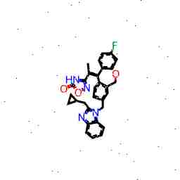 CC(=C1c2ccc(Cn3c(CC4CC4)nc4ccccc43)cc2COc2cc(F)ccc21)c1noc(=O)[nH]1